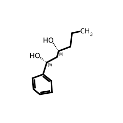 CCC[C@@H](O)C[C@@H](O)c1ccccc1